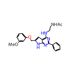 COc1cccc(OCc2cc3c(NCCNC(C)=O)nc(-c4ccccc4)nc3[nH]2)c1